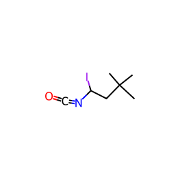 CC(C)(C)CC(I)N=C=O